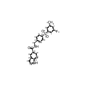 Cc1cc(F)cc(S(=O)(=O)c2ccc(CNC(=O)c3cnc4[nH]ncc4c3)nc2)c1